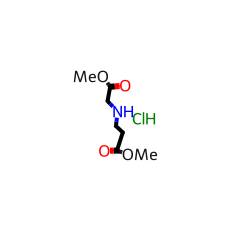 COC(=O)CCNCC(=O)OC.Cl